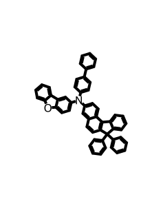 c1ccc(-c2ccc(N(c3ccc4c5c(ccc4c3)C(c3ccccc3)(c3ccccc3)c3ccccc3-5)c3ccc4oc5ccccc5c4c3)cc2)cc1